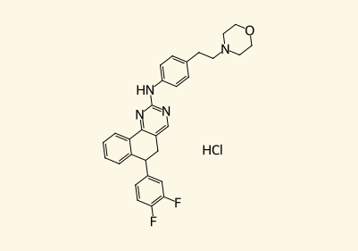 Cl.Fc1ccc(C2Cc3cnc(Nc4ccc(CCN5CCOCC5)cc4)nc3-c3ccccc32)cc1F